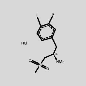 CN[C@H](Cc1ccc(F)c(F)c1)CS(C)(=O)=O.Cl